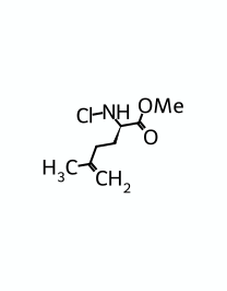 C=C(C)CC[C@@H](NCl)C(=O)OC